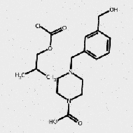 CC(C)COC(=O)Cl.O=C(O)N1CCN(Cc2cccc(CO)c2)CC1